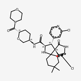 CC1(C)CCC2(CC1)N[C@@H](C(=O)N[C@@H]1CC[C@@H](C(=O)N3CCOCC3)OC1)[C@H](c1ccnc(Cl)c1)[C@]21C(=O)Nc2cc(Cl)ccc21